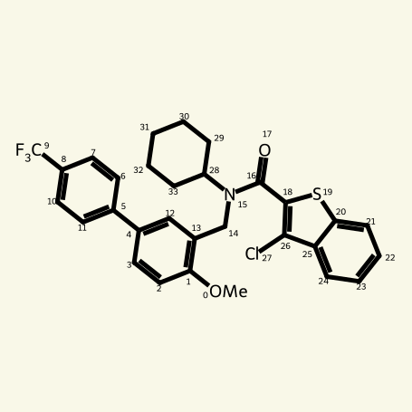 COc1ccc(-c2ccc(C(F)(F)F)cc2)cc1CN(C(=O)c1sc2ccccc2c1Cl)C1CCCCC1